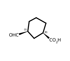 O=C[C@H]1CCC[C@@H](C(=O)O)C1